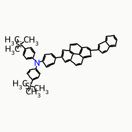 C[Si](C)(C)c1ccc(N(c2ccc(-c3cc4ccc5cc(-c6ccc7ccccc7c6)cc6ccc(c3)c4c56)cc2)c2ccc([Si](C)(C)C)cc2)cc1